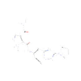 CCN(C)C(=O)c1cnn(C)c1C(=O)Nc1ccn2nc(N3CCCC3)nc2c1